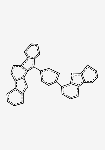 c1ccc2c(c1)oc1c(-c3ccc(-n4c5ccccc5c5ccc6c7ccccc7sc6c54)cc3)cccc12